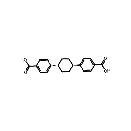 O=C(O)c1ccc([C@H]2CC[C@H](c3ccc(C(=O)O)cc3)CC2)cc1